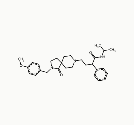 COc1ccc(CN2CCC3(CCN(CCC(C(=O)NC(C)C)c4ccccc4)CC3)C2=O)cc1